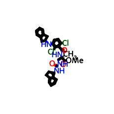 COC(=O)[C@@](C)(CNC(=O)N[C@@H]1CCc2ccccc21)NC(=O)c1c(Cl)ccc(NC2Cc3ccccc3C2)c1Cl